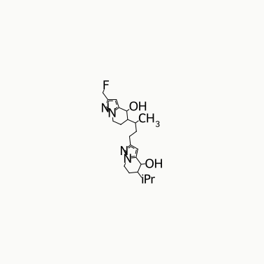 CC(C)C1CCn2nc(CCC(C)C3CCn4nc(CF)cc4C3O)cc2C1O